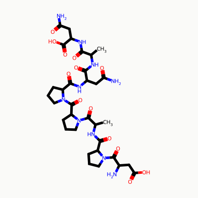 CC(NC(=O)C(CC(N)=O)NC(=O)C1CCCN1C(=O)C1CCCN1C(=O)C(C)NC(=O)C1CCCN1C(=O)C(N)CC(=O)O)C(=O)NC(CC(N)=O)C(=O)O